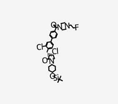 CC(C)(C)[Si](C)(C)OC1CCC(N2CC[C@@H](Cc3c(Cl)cc(-c4ccc(C(=O)N5CCN(CCF)CC5)cc4)cc3Cl)C2=O)CC1